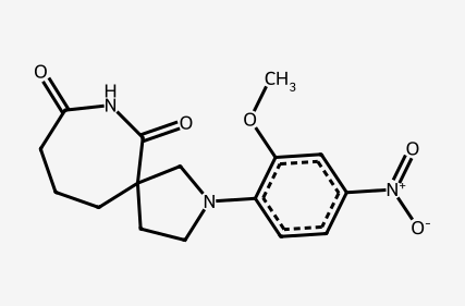 COc1cc([N+](=O)[O-])ccc1N1CCC2(CCCC(=O)NC2=O)C1